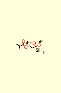 C=C(C)C(=O)OCCC([SiH3])(OC(C)C)OC(C)C